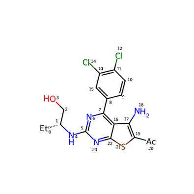 CC[C@H](CO)Nc1nc(-c2ccc(Cl)c(Cl)c2)c2c(N)c(C(C)=O)sc2n1